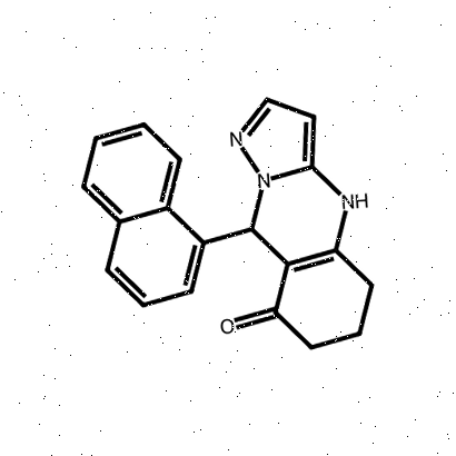 O=C1CCCC2=C1C(c1cccc3ccccc13)n1nccc1N2